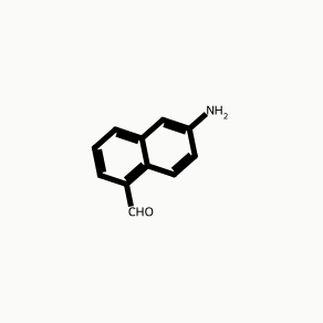 Nc1ccc2c(C=O)cccc2c1